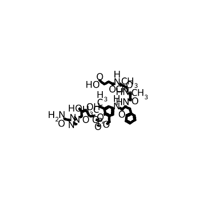 CC(NC(=O)C(C)(C)NC(=O)CCC(=O)O)C(=O)NC(Cc1ccccc1)C(=O)Nc1cc2c(c(C(C)C)c1)OP(=O)(OCC1OC(n3cnc(C(N)=O)n3)C(O)C1O)OC2